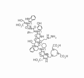 CC(C)C[C@@H](NC(=O)[C@H](Cc1ccc(O)cc1)NC(=O)C(CCCNCN)NC(=O)C(CO)NC(=O)C(Cc1ccccc1)NC(=O)[C@H](CC1CCCCC1)NC(=O)[C@@H](CC(=O)O)NC(=O)CN1CCN(CC(=O)O)CCN(CC(=O)O)CC1)C(=O)N[C@@H](Cc1c[nH]c2ccccc12)C(=O)N[C@@H](CO)C(=O)O